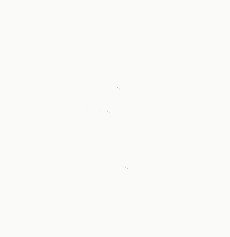 C[C@H](NCc1ccccc1)C(=O)Nc1ccc(-c2ccncc2)cc1.Cl.Cl